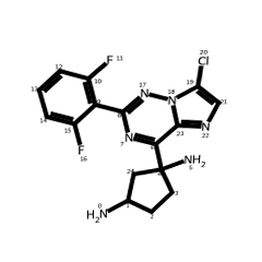 NC1CCC(N)(c2nc(-c3c(F)cccc3F)nn3c(Cl)cnc23)C1